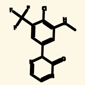 CNc1cc(C2N=CC=NC2=O)cc(C(F)(F)F)c1Cl